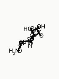 NC(=O)CCSCc1cccc(CSCCC(=O)NC2(C=O)CCN(C(=O)CN3CCN(CC=O)CCN(CC(=O)O)CCN(CC(=O)O)CC3)CC2)n1